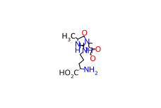 CC(=O)C=O.CC1NC(NCCC[C@H](N)C(=O)O)=NC1=O